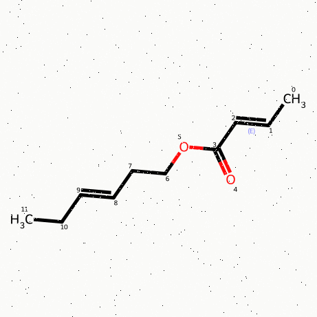 C/C=C/C(=O)OCCC=CCC